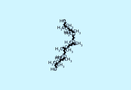 CCC(C)(CCCOC(C)(C)CC(O)COC(C)(C)CCO)OCCCC(C)(CC)OCCCOC(C)(C)CC(O)COC(C)(C)CCO